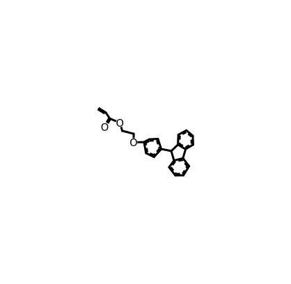 C=CC(=O)OCCOc1ccc(C2c3ccccc3-c3ccccc32)cc1